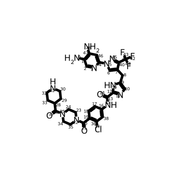 Nc1cnc(-n2cc(Cc3cnc(C(=O)Nc4ccc(C(=O)N5CCN(C(=O)C6CCNCC6)CC5)c(Cl)c4)[nH]3)c(C(F)(F)F)n2)cc1N